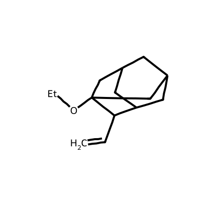 C=CC1C2CC3CC(C2)CC1(OCC)C3